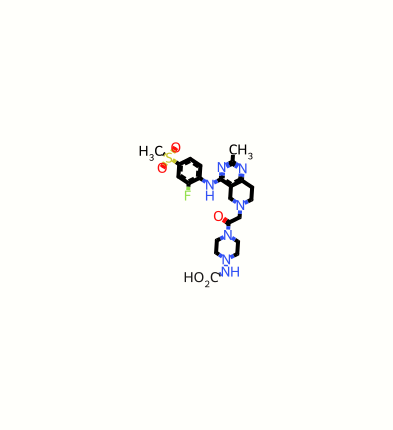 Cc1nc2c(c(Nc3ccc(S(C)(=O)=O)cc3F)n1)CN(CC(=O)N1CCN(NC(=O)O)CC1)CC2